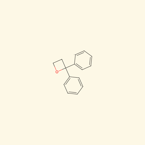 [c]1ccccc1C1(c2ccccc2)CCO1